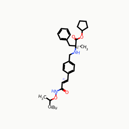 CC(C)COC(C)ONC(=O)/C=C/c1ccc(CN[C@@](C)(Cc2ccccc2)C(=O)OC2CCCC2)cc1